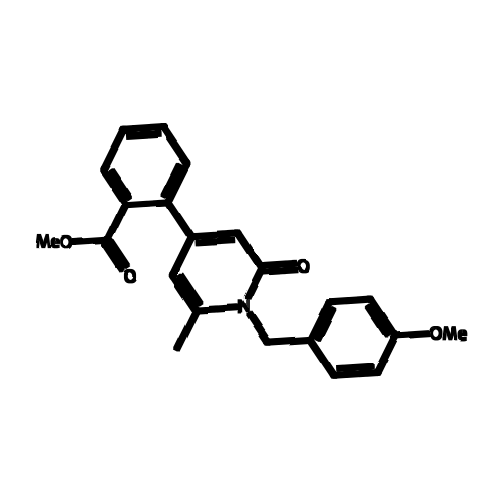 COC(=O)c1ccccc1-c1cc(C)n(Cc2ccc(OC)cc2)c(=O)c1